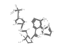 Cc1cccc(C(=O)N2CCC(F)(F)[C@H]2COc2ccc(C(F)(F)F)cn2)c1-n1nccn1